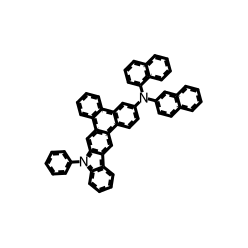 c1ccc(-n2c3ccccc3c3cc4c5ccc(N(c6ccc7ccccc7c6)c6cccc7ccccc67)cc5c5ccccc5c4cc32)cc1